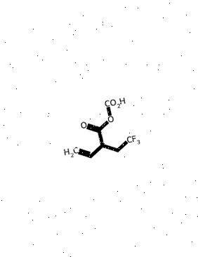 C=CC(CC(F)(F)F)C(=O)OC(=O)O